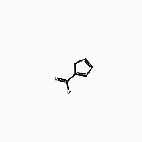 O=C(Br)C1=CC=CC1